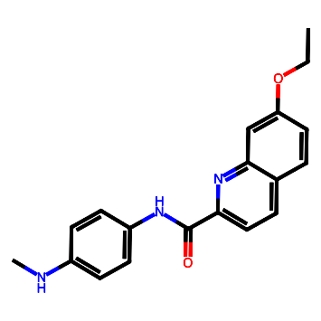 CCOc1ccc2ccc(C(=O)Nc3ccc(NC)cc3)nc2c1